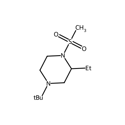 CCC1CN(C(C)(C)C)CCN1S(C)(=O)=O